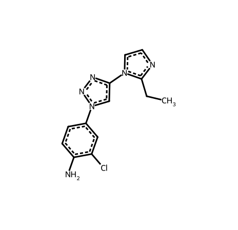 CCc1nccn1-c1cn(-c2ccc(N)c(Cl)c2)nn1